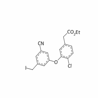 CCOC(=O)Cc1ccc(Cl)c(Oc2cc(C#N)cc(CI)c2)c1